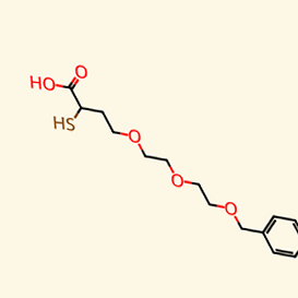 O=C(O)C(S)CCOCCOCCOCc1ccccc1